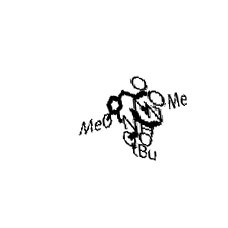 COC(=O)C(Cc1ccc(OC)c(CNC(=O)OC(C)(C)C)c1)[n+]1ccccn1